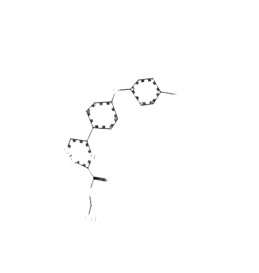 CCOC(=O)c1nncc(-c2ccc(Oc3ccc(F)cc3)cc2)n1